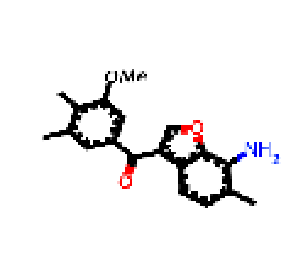 COc1cc(C(=O)c2coc3c(N)c(C)ccc23)cc(C)c1C